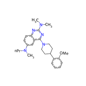 CCCN(C)c1ccc2nc(N(C)C)nc(N3CCC(c4ccccc4OC)CC3)c2c1